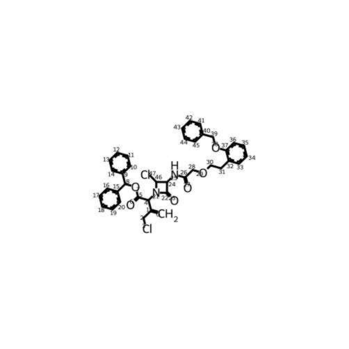 C=C(CCl)C(C(=O)OC(c1ccccc1)c1ccccc1)N1C(=O)C(NC(=O)COCCc2ccccc2OCc2ccccc2)C1Cl